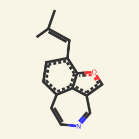 CC(C)=Cc1ccc2c3c(coc13)C=NC=C2